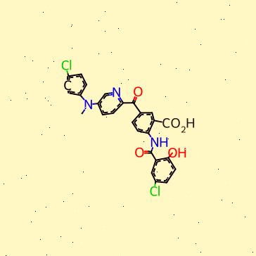 CN(c1ccc(Cl)cc1)c1ccc(C(=O)c2ccc(NC(=O)c3cc(Cl)ccc3O)c(C(=O)O)c2)nc1